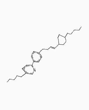 CCCCCc1ccc(-c2ccc(CCC=CC3CCC(CCCCC)CC3)cc2)nc1